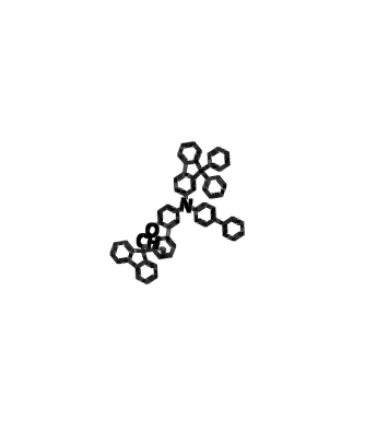 CC1(c2cccc3c2oc2ccc(N(c4ccc(-c5ccccc5)cc4)c4ccc5c(c4)C(c4ccccc4)(c4ccccc4)c4ccccc4-5)cc23)c2ccccc2-c2ccccc21